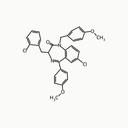 COc1ccc(CN2C(=O)C(Cc3ccccc3Cl)N=C(c3ccc(OC)cc3)c3cc(Cl)ccc32)cc1